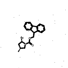 CC(=O)[C@@H]1C[C@H](C)CN1C(=O)OCC1c2ccccc2-c2ccccc21